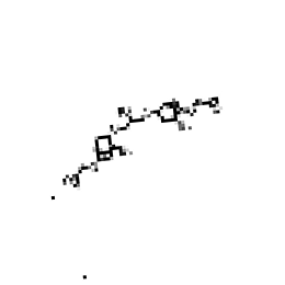 CCC12CC(CC1OCC(O)COC1CC3(CC)CC1CC3OCC1CO1)C(OCC1CO1)C2